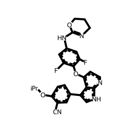 CC(C)Oc1ccc(-c2c[nH]c3nccc(Oc4c(F)cc(NC5=NCCCO5)cc4F)c23)cc1C#N